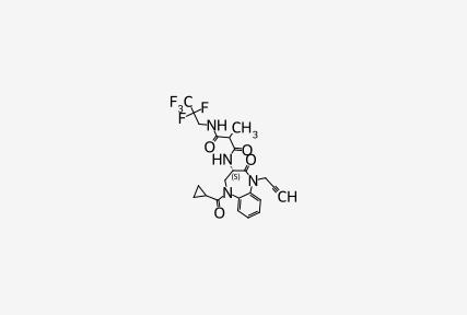 C#CCN1C(=O)[C@@H](NC(=O)C(C)C(=O)NCC(F)(F)C(F)(F)F)CN(C(=O)C2CC2)c2ccccc21